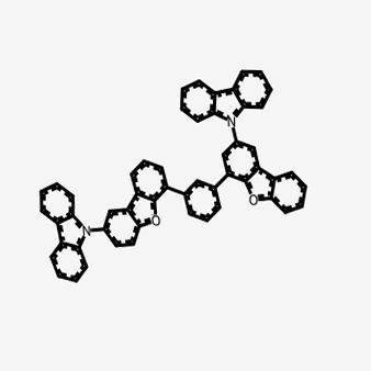 c1cc(-c2cccc3c2oc2ccc(-n4c5ccccc5c5ccccc54)cc23)cc(-c2cc(-n3c4ccccc4c4ccccc43)cc3c2oc2ccccc23)c1